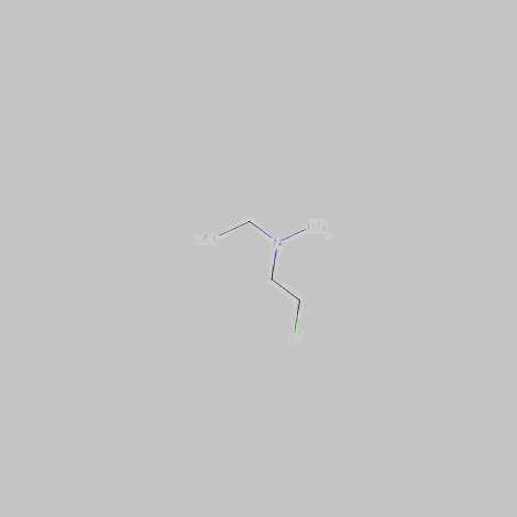 CCCCN(C)CCCl